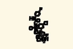 COc1cc(-c2cc(Cl)cc3c2n(C)c(=O)n3CC(=O)Nc2ccc(F)cc2)cc(F)c1O